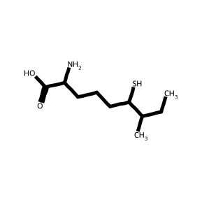 CCC(C)C(S)CCCC(N)C(=O)O